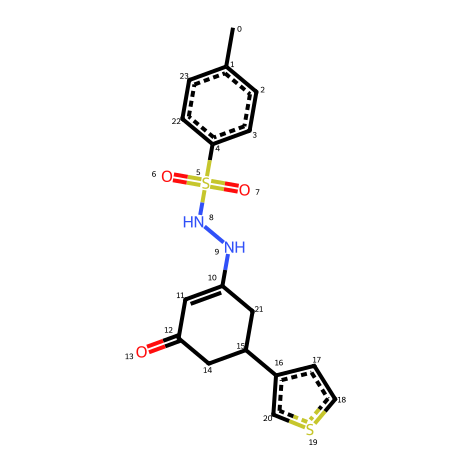 Cc1ccc(S(=O)(=O)NNC2=CC(=O)CC(c3ccsc3)C2)cc1